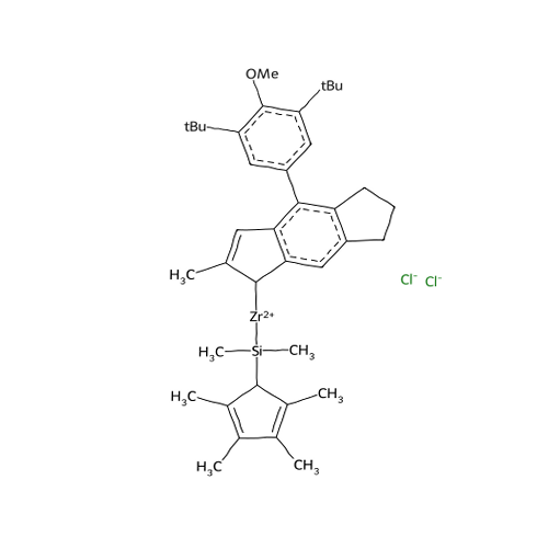 COc1c(C(C)(C)C)cc(-c2c3c(cc4c2CCC4)[CH]([Zr+2][Si](C)(C)C2C(C)=C(C)C(C)=C2C)C(C)=C3)cc1C(C)(C)C.[Cl-].[Cl-]